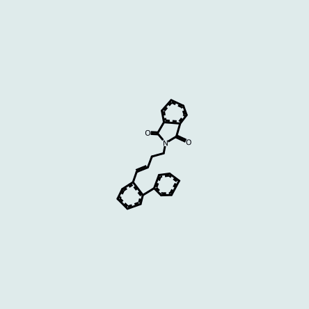 O=C1c2ccccc2C(=O)N1CCC=Cc1ccccc1-c1ccccc1